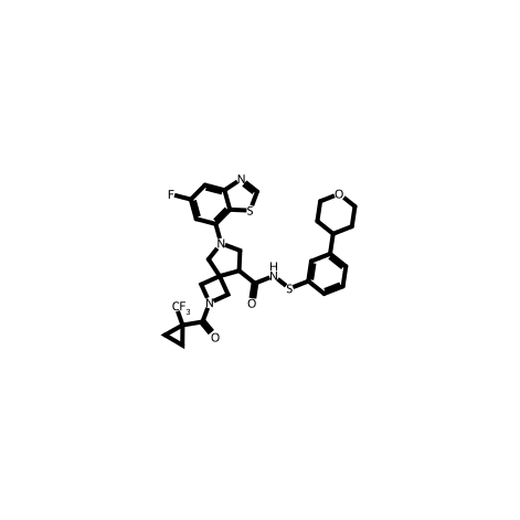 O=C(NSc1cccc(C2CCOCC2)c1)C1CN(c2cc(F)cc3ncsc23)CC12CN(C(=O)C1(C(F)(F)F)CC1)C2